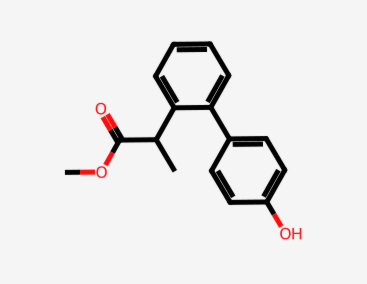 COC(=O)C(C)c1ccccc1-c1ccc(O)cc1